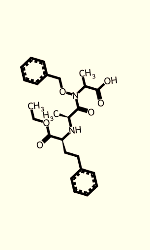 CCOC(=O)[C@H](CCc1ccccc1)N[C@@H](C)C(=O)N(OCc1ccccc1)C(C)C(=O)O